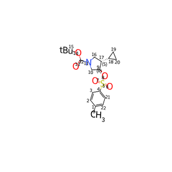 Cc1ccc(S(=O)(=O)O[C@H]2CN(C(=O)OC(C)(C)C)C[C@@H]2C2CC2)cc1